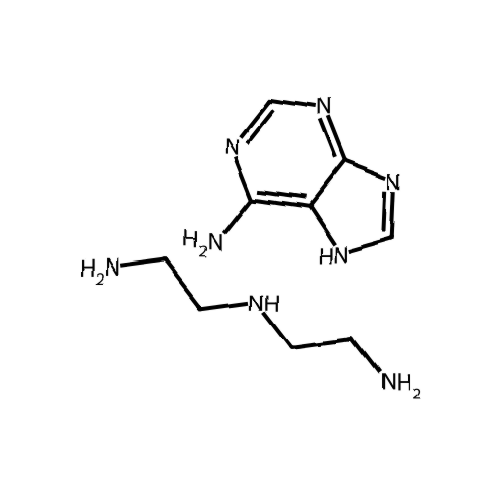 NCCNCCN.Nc1ncnc2nc[nH]c12